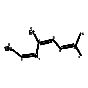 CCC(=C/C=C(C)C)/N=C\C(C)(C)C